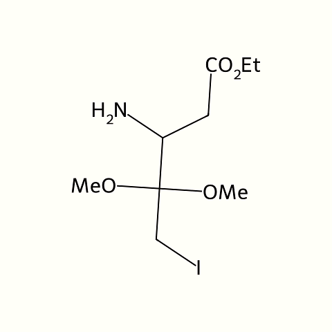 CCOC(=O)CC(N)C(CI)(OC)OC